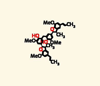 C/C=C/c1cc(OC)c2c(c1)[C@H](C)[C@@H](c1cc(Cc3cc([C@H]4Oc5c(OC)cc(/C=C/C)cc5[C@@H]4C)cc(OC)c3O)c(O)c(OC)c1)O2